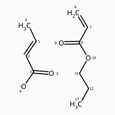 C/C=C/C([O])=O.C=CC(=O)OCCC